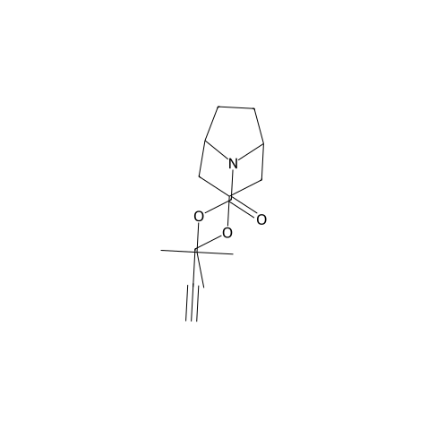 C#CCOC1CC2CCC(C1)N2C(=O)OC(C)(C)C